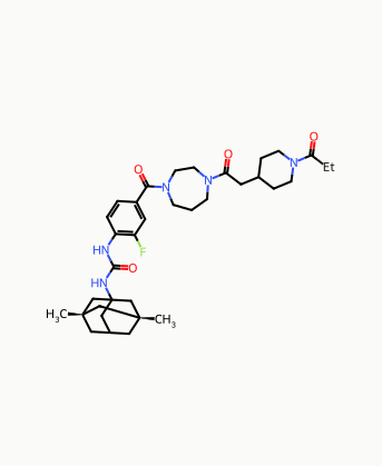 CCC(=O)N1CCC(CC(=O)N2CCCN(C(=O)c3ccc(NC(=O)NC45CC6C[C@@](C)(C4)C[C@](C)(C6)C5)c(F)c3)CC2)CC1